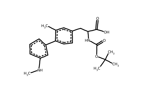 CNc1cccc(-c2ccc(CC(NC(=O)OC(C)(C)C)C(=O)O)cc2C)c1